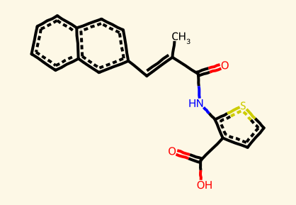 C/C(=C\c1ccc2ccccc2c1)C(=O)Nc1sccc1C(=O)O